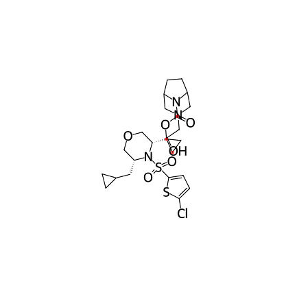 O=C(OC1([C@H]2COC[C@@H](CC3CC3)N2S(=O)(=O)c2ccc(Cl)s2)CC1)N1C2CCC1CN(CCO)C2